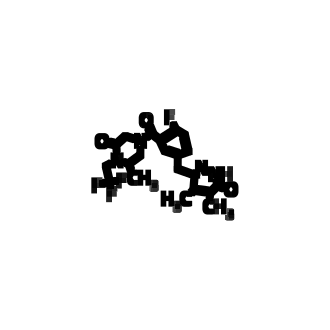 Cc1c(Cc2ccc(F)c(C(=O)N3CC(=O)N(CC(F)(F)F)C(C)C3)c2)n[nH]c(=O)c1C